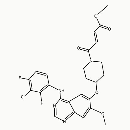 COC(=O)/C=C/C(=O)N1CCC(Oc2cc3c(Nc4ccc(F)c(Cl)c4F)ncnc3cc2OC)CC1